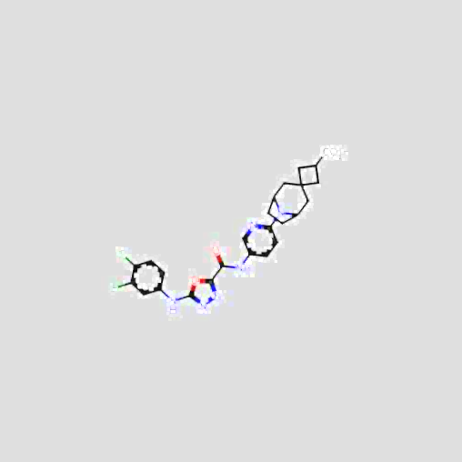 O=C(Nc1ccc(N2C3CCC2CC2(CC(C(=O)O)C2)C3)nc1)c1nnc(Nc2ccc(F)c(F)c2)o1